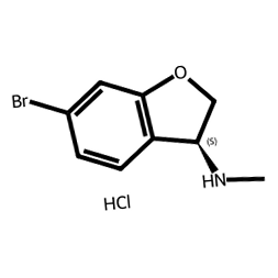 CN[C@@H]1COc2cc(Br)ccc21.Cl